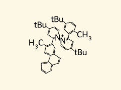 Cc1ccc(C(C)(C)C)cc1-c1cc(C(C)(C)C)cc[n+]1-[n+]1ccc(C(C)(C)C)cc1-c1cc2ccc3ccccc3c2cc1C